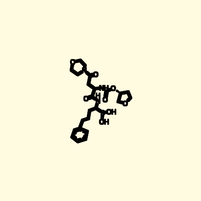 O=C(NC(CC(=O)N1CCOCC1)C(=O)NC(CCCc1ccccc1)B(O)O)O[C@@H]1CCOC1